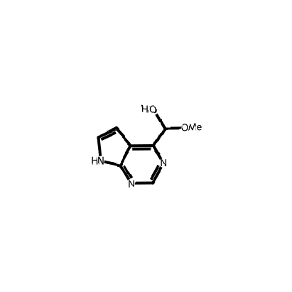 COC(O)c1ncnc2[nH]ccc12